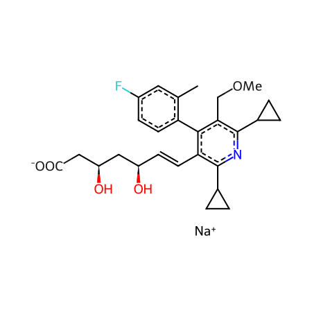 COCc1c(C2CC2)nc(C2CC2)c(/C=C/[C@@H](O)C[C@@H](O)CC(=O)[O-])c1-c1ccc(F)cc1C.[Na+]